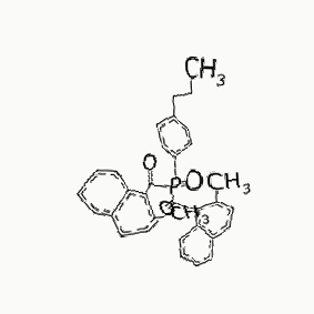 CCCc1ccc(P(=O)(C(=O)c2c(C)ccc3ccccc23)C(=O)c2c(C)ccc3ccccc23)cc1